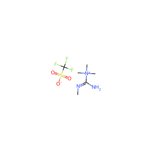 C/N=C(\N)[N+](C)(C)C.O=S(=O)([O-])C(F)(F)F